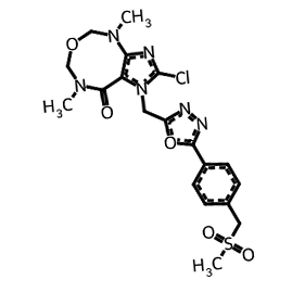 CN1COCN(C)c2nc(Cl)n(Cc3nnc(-c4ccc(CS(C)(=O)=O)cc4)o3)c2C1=O